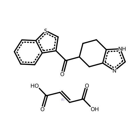 O=C(O)/C=C/C(=O)O.O=C(c1csc2ccccc12)C1CCc2[nH]cnc2C1